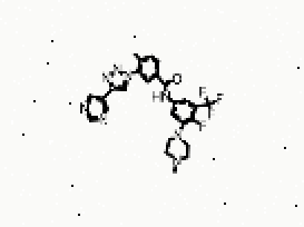 Cc1ccc(C(=O)Nc2cc(N3CCN(C)CC3)c(F)c(C(F)(F)F)c2)cc1-n1cc(-c2cncnc2)nn1